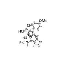 CCC(CC)Nc1c2c(nc3c(-c4ccc(OC)cc4Cl)c(C)nn13)CCC2.Cl